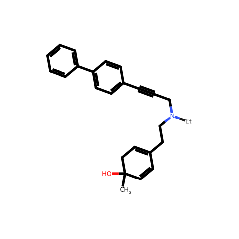 CCN(CC#Cc1ccc(-c2ccccc2)cc1)CCC1=CCC(C)(O)C=C1